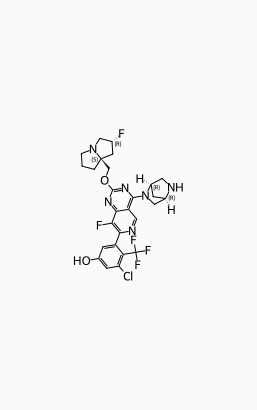 Oc1cc(Cl)c(C(F)(F)F)c(-c2ncc3c(N4C[C@H]5C[C@@H]4CN5)nc(OC[C@@]45CCCN4C[C@H](F)C5)nc3c2F)c1